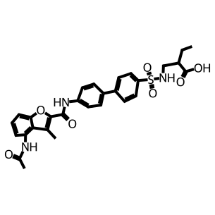 CCC(CNS(=O)(=O)c1ccc(-c2ccc(NC(=O)c3oc4cccc(NC(C)=O)c4c3C)cc2)cc1)C(=O)O